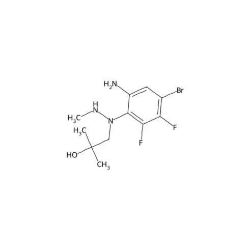 CNN(CC(C)(C)O)c1c(N)cc(Br)c(F)c1F